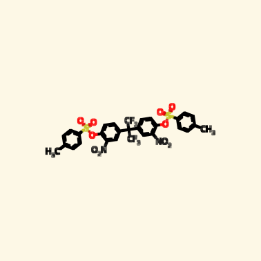 Cc1ccc(S(=O)(=O)Oc2ccc(C(c3ccc(OS(=O)(=O)c4ccc(C)cc4)c([N+](=O)[O-])c3)(C(F)(F)F)C(F)(F)F)cc2[N+](=O)[O-])cc1